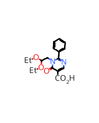 CCOC(Cn1c(-c2ccccc2)ncc(C(=O)O)c1=O)OCC